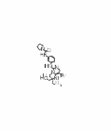 CC(C)(CO)Nc1nc(Nc2cccc(NC(=O)N3CCCC3)c2)ncc1Br